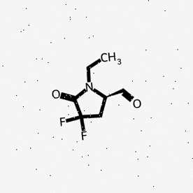 CCN1C(=O)C(F)(F)C[C@@H]1C=O